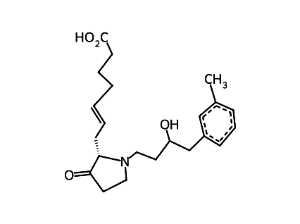 Cc1cccc(CC(O)CCN2CCC(=O)[C@@H]2CC=CCCCC(=O)O)c1